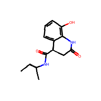 CCC(C)NC(=O)C1CC(=O)Nc2c(O)cccc21